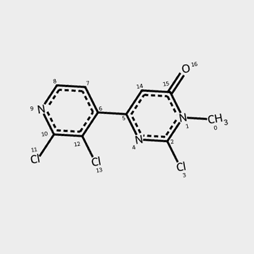 Cn1c(Cl)nc(-c2ccnc(Cl)c2Cl)cc1=O